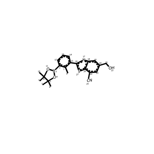 Cc1c(B2OC(C)(C)C(C)(C)O2)cccc1-c1nc2cc(CO)cc(C#N)c2s1